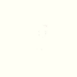 COc1ncc(CC[C@@H](N)C(=O)O)cn1